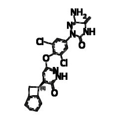 C=C1NC(=O)N(c2cc(Cl)c(Oc3cc([C@@H]4Cc5ccccc54)c(=O)[nH]n3)c(Cl)c2)N=C1N